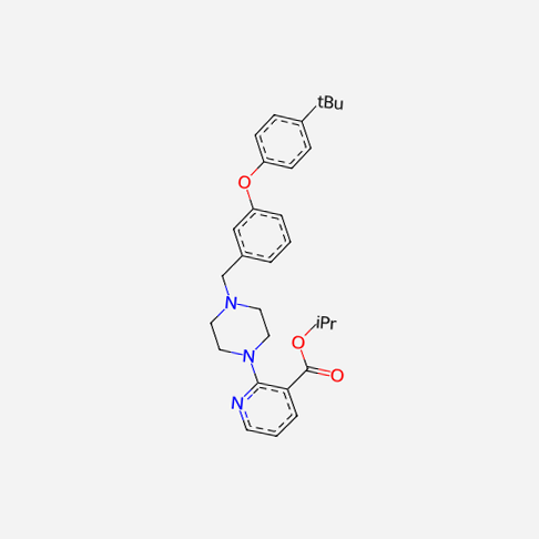 CC(C)OC(=O)c1cccnc1N1CCN(Cc2cccc(Oc3ccc(C(C)(C)C)cc3)c2)CC1